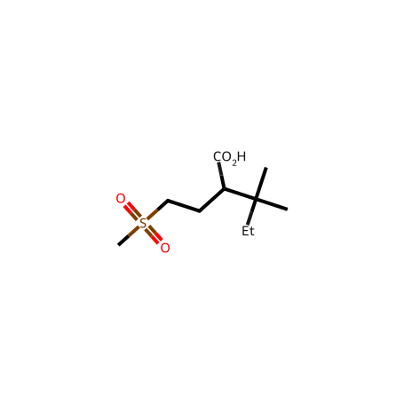 CCC(C)(C)C(CCS(C)(=O)=O)C(=O)O